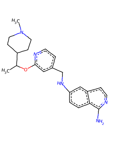 CC(Oc1cc(CNc2ccc3c(N)nccc3c2)ccn1)C1CCN(C)CC1